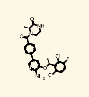 C[C@H](Oc1cc(-c2ccc(C(=O)N3CCNC(=O)[C@@H]3C)cc2)cnc1N)c1c(Cl)ccc(F)c1Cl